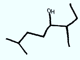 CCC(C)C(O)CCC(C)C